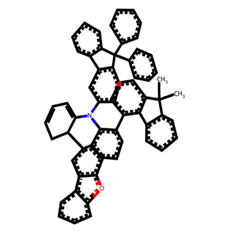 CC1(C)c2ccccc2-c2c(-c3ccccc3N(C3=CC=CCC3c3ccc4oc5ccccc5c4c3)c3ccc4c(c3)-c3ccccc3C4(c3ccccc3)c3ccccc3)cccc21